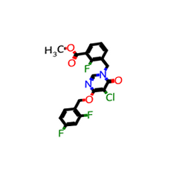 COC(=O)c1cccc(Cn2cnc(OCc3ccc(F)cc3F)c(Cl)c2=O)c1F